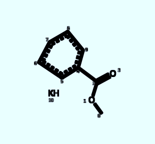 COC(=O)c1ccccc1.[KH]